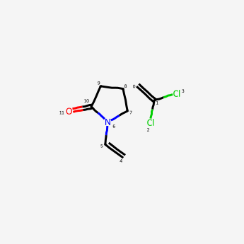 C=C(Cl)Cl.C=CN1CCCC1=O